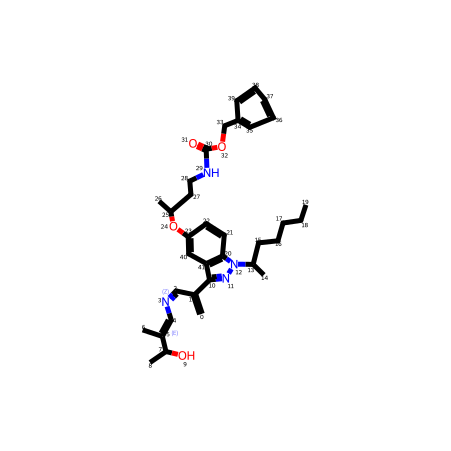 C=C(/C=N\C=C(/C)C(C)O)c1nn(C(C)CCCCC)c2ccc(OC(C)CCNC(=O)OCc3ccccc3)cc12